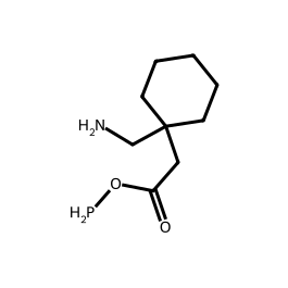 NCC1(CC(=O)OP)CCCCC1